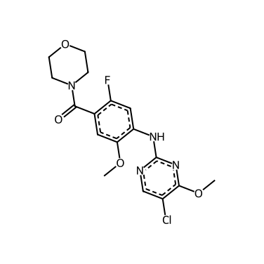 COc1cc(C(=O)N2CCOCC2)c(F)cc1Nc1ncc(Cl)c(OC)n1